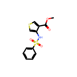 COC(=O)c1cscc1NS(=O)(=O)c1ccccc1